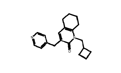 O=c1c(Cc2ccncc2)cc2c(n1CC1CCC1)CCCC2